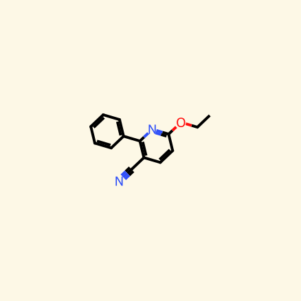 CCOc1ccc(C#N)c(-c2ccccc2)n1